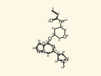 C=CC(=O)N(C)C1COCC(Oc2nc(-c3cnn(C)c3)cn3nccc23)C1